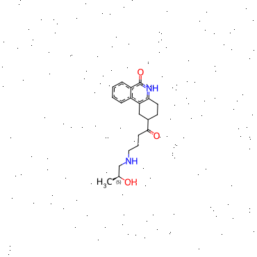 C[C@H](O)CNCCCC(=O)C1CCc2[nH]c(=O)c3ccccc3c2C1